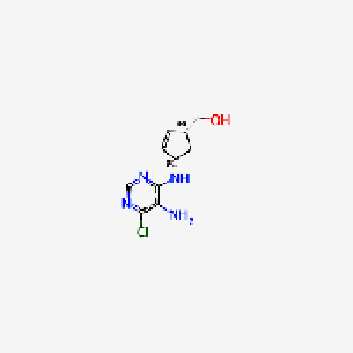 Nc1c(Cl)ncnc1N[C@@H]1C=C[C@H](CO)C1